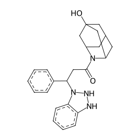 O=C(CC(c1ccccc1)N1NNc2ccccc21)N1C2CC3CC1CC(O)(C3)C2